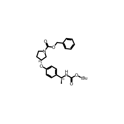 C[C@H](NC(=O)OC(C)(C)C)c1ccc(O[C@@H]2CCN(C(=O)OCc3ccccc3)C2)cc1